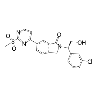 CS(=O)(=O)c1nccc(-c2ccc3c(c2)C(=O)N([C@@H](CO)c2cccc(Cl)c2)C3)n1